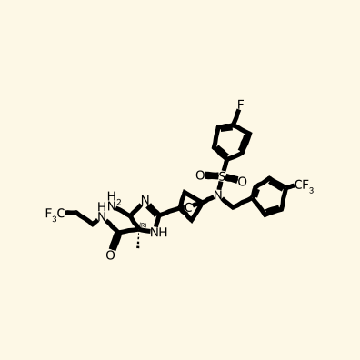 C[C@@]1(C(=O)NCCC(F)(F)F)NC(C23CC(N(Cc4ccc(C(F)(F)F)cc4)S(=O)(=O)c4ccc(F)cc4)(C2)C3)=NC1N